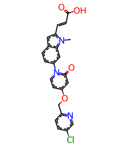 Cn1c(C=CC(=O)O)cc2ccc(-n3ccc(OCc4ccc(Cl)cn4)cc3=O)cc21